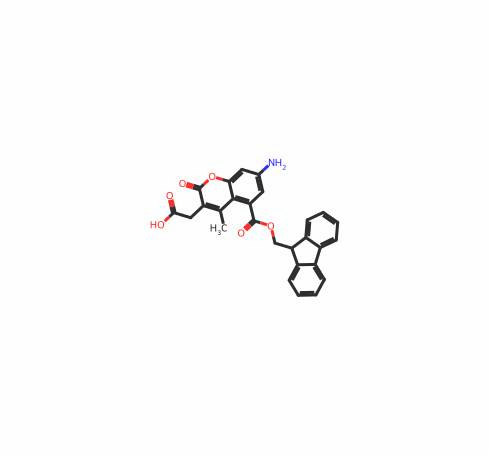 Cc1c(CC(=O)O)c(=O)oc2cc(N)cc(C(=O)OCC3c4ccccc4-c4ccccc43)c12